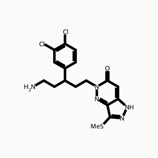 CSc1n[nH]c2cc(=O)n(CCC(CCN)c3ccc(Cl)c(Cl)c3)nc12